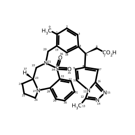 Cc1ccc([C@@H](CC(=O)O)c2ccn3c(C)nnc3c2)cc1CN1C[C@H]2CCCN2c2ccccc2S1(=O)=O